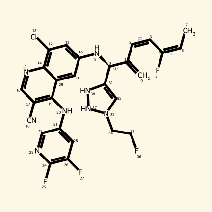 C=C(/C=C\C(F)=C/C)[C@H](Nc1cc(Cl)c2ncc(C#N)c(Nc3cnc(F)c(F)c3)c2c1)C1=CN(CCF)NN1